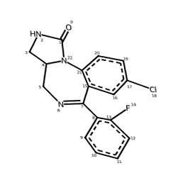 O=C1NCC2CN=C(c3ccccc3F)c3cc(Cl)ccc3N12